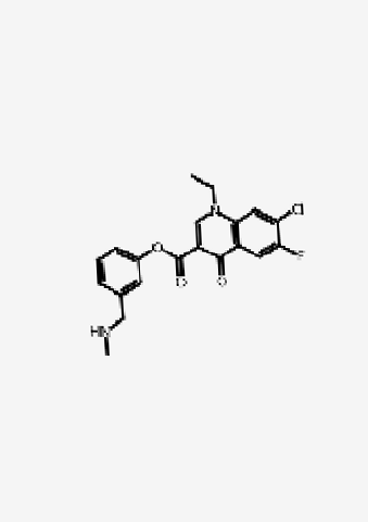 CCn1cc(C(=O)Oc2cccc(CNC)c2)c(=O)c2cc(F)c(Cl)cc21